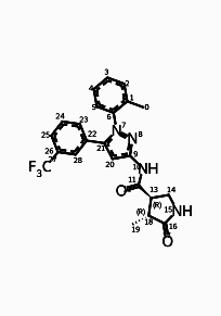 Cc1ccccc1-n1nc(NC(=O)[C@H]2CNC(=O)[C@@H]2C)cc1-c1cccc(C(F)(F)F)c1